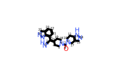 N#CC(=C1CCN(C(=O)N2CCc3[nH]ncc3C2)CC1)c1cccc2cn[nH]c12